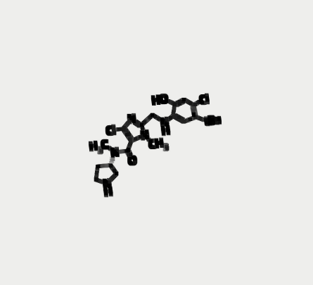 CN(C(=O)c1c(Cl)nc(CNc2cc(C(C)(C)C)c(Cl)cc2O)n1C)[C@H]1CCNC1